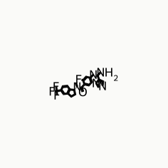 CN(C(=O)c1cc2c(cc1F)nc(N)c1cncn12)[C@@H]1CCc2cc(C(F)(F)F)ccc21